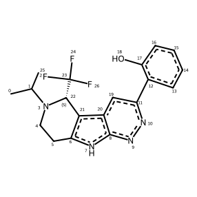 CC(C)N1CCc2[nH]c3nnc(-c4ccccc4O)cc3c2[C@H]1C(F)(F)F